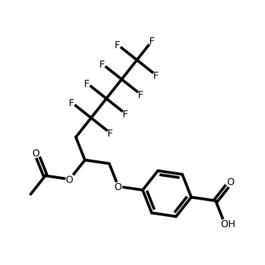 CC(=O)OC(COc1ccc(C(=O)O)cc1)CC(F)(F)C(F)(F)C(F)(F)C(F)(F)F